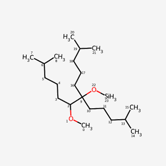 COC(CCCC(C)C)C(CCCC(C)C)(CCCC(C)C)O[SiH3]